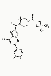 Cc1cc(-c2cc(C(C)C)c3nc(C(=O)N4CCN(C(=O)[C@H]5C[C@@](O)(C(F)(F)F)C5)CC4(C)C)cn3n2)ccc1F